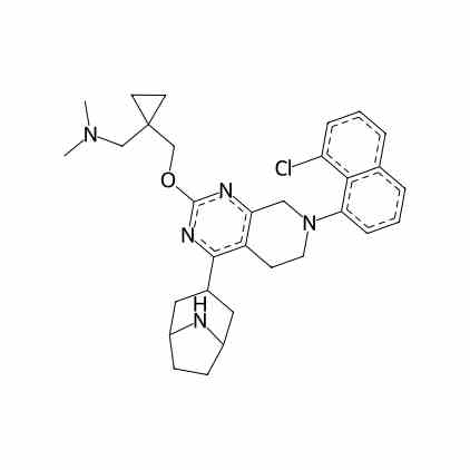 CN(C)CC1(COc2nc3c(c(C4CC5CCC(C4)N5)n2)CCN(c2cccc4cccc(Cl)c24)C3)CC1